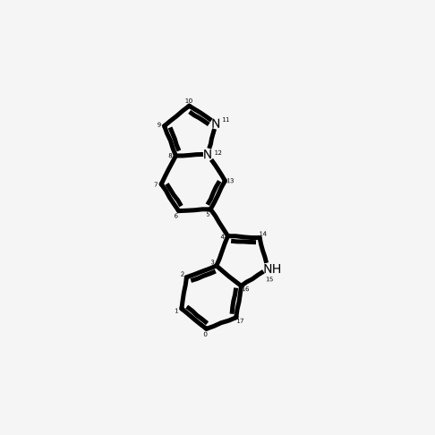 c1ccc2c(-c3ccc4ccnn4c3)c[nH]c2c1